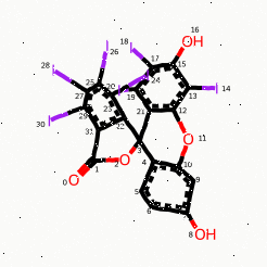 O=C1OC2(c3ccc(O)cc3Oc3c(I)c(O)c(I)c(I)c32)c2c(I)c(I)c(I)c(I)c21